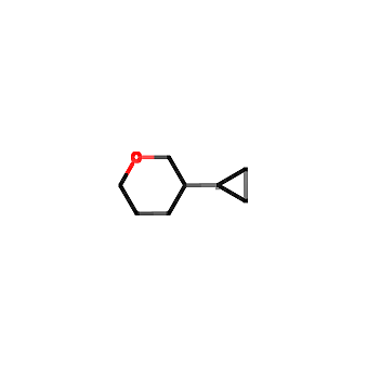 C1COCC([C]2CC2)C1